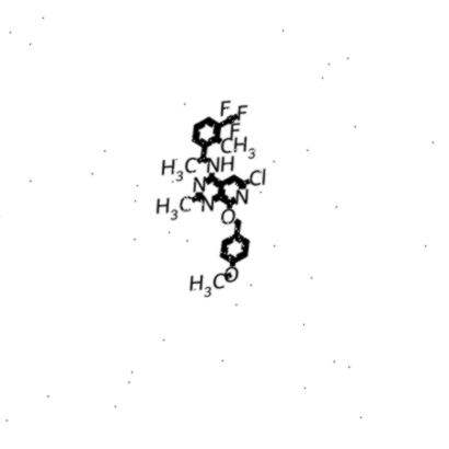 COc1ccc(COc2nc(Cl)cc3c(NC(C)c4cccc(C(F)(F)F)c4C)nc(C)nc23)cc1